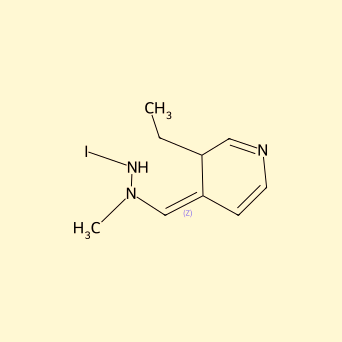 CCC1C=NC=C/C1=C/N(C)NI